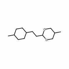 CC1CCC(CCC2OCC(C)CO2)CC1